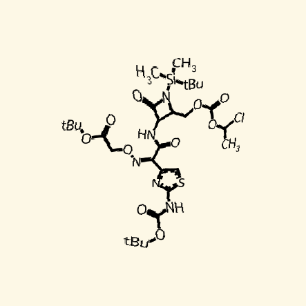 CC(Cl)OC(=O)OCC1C(NC(=O)/C(=N\OCC(=O)OC(C)(C)C)c2csc(NC(=O)OC(C)(C)C)n2)C(=O)N1[Si](C)(C)C(C)(C)C